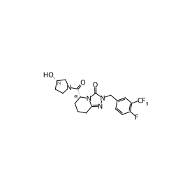 O=C([C@H]1CCCc2nn(Cc3ccc(F)c(C(F)(F)F)c3)c(=O)n21)N1CC[C@H](O)C1